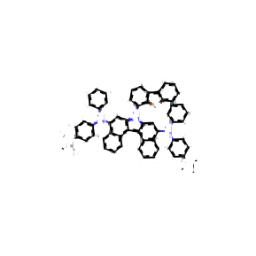 C[Si](C)(C)c1ccc(N(c2ccccc2)c2cc3c(c4ccccc24)c2c4ccccc4c(N(c4ccccc4)c4ccc([Si](C)(C)C)cc4)cc2n3-c2cccc3c2sc2ccccc23)cc1